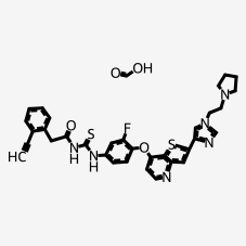 C#Cc1ccccc1CC(=O)NC(=S)Nc1ccc(Oc2ccnc3cc(-c4cn(CCN5CCCC5)cn4)sc23)c(F)c1.O=CO